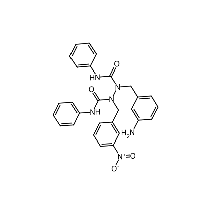 Nc1cccc(CN(C(=O)Nc2ccccc2)N(Cc2cccc([N+](=O)[O-])c2)C(=O)Nc2ccccc2)c1